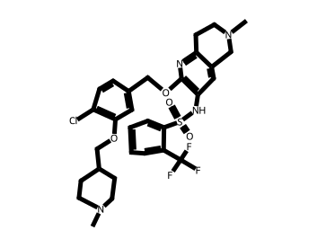 CN1CCC(COc2cc(COc3nc4c(cc3NS(=O)(=O)c3ccccc3C(F)(F)F)CN(C)CC4)ccc2Cl)CC1